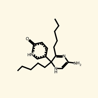 CCCCCC1=NC(N)=CNC1(CCCCC)c1ccc(=O)[nH]c1